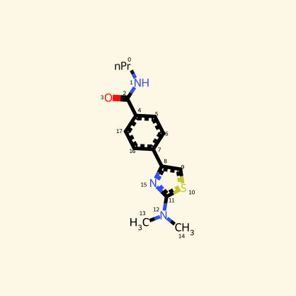 CCCNC(=O)c1ccc(-c2csc(N(C)C)n2)cc1